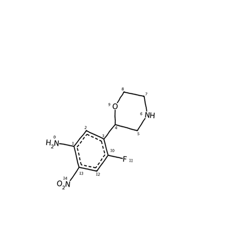 Nc1cc(C2CNCCO2)c(F)cc1[N+](=O)[O-]